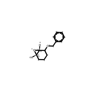 c1ccc(COC2CCC[C@@H]3O[C@H]23)cc1